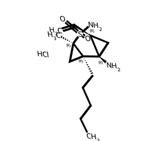 C=C[C@H]1C[C@]1(N)[C@@]1(CCCCC)C[C@@]1(C)S(N)(=O)=O.Cl